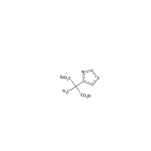 CCOC(=O)C(C)(C(=O)OCC)c1cs[c]n1